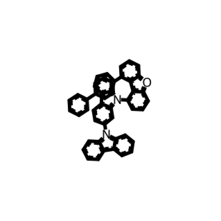 c1ccc(-c2ccc(-c3cccc4oc5cccc(-n6c7ccccc7c7ccc(-n8c9ccccc9c9ccccc98)cc76)c5c34)cc2)cc1